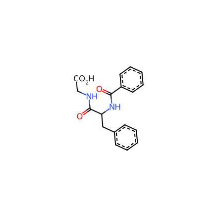 O=C(O)CNC(=O)C(Cc1ccccc1)NC(=O)c1ccccc1